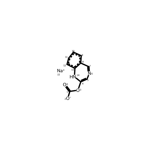 O=C([O-])OC1=CN=Cc2ccccc2N1.[Na+]